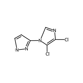 Clc1ncn(C2=N[N]C=C2)c1Cl